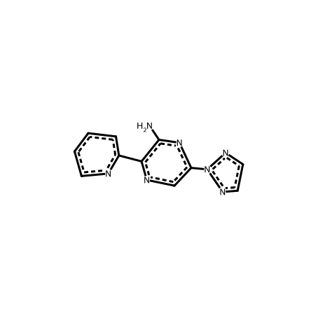 Nc1nc(-n2nccn2)cnc1-c1ccccn1